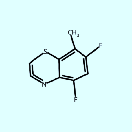 Cc1c(F)cc(F)c2c1SC=C=N2